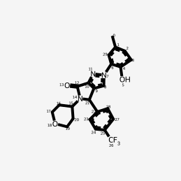 Cc1ccc(O)c(-n2cc3c(n2)C(=O)N(C2CCOCC2)C3c2ccc(C(F)(F)F)cc2)c1